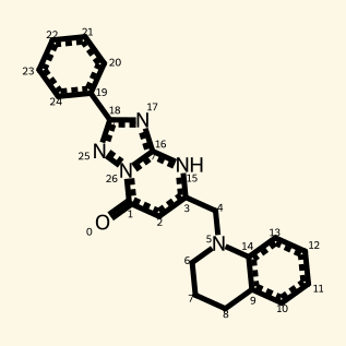 O=c1cc(CN2CCCc3ccccc32)[nH]c2nc(-c3ccccc3)nn12